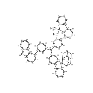 CC1(C)c2ccccc2-c2cccc(-c3ccc(N(c4cccc(-c5cccc6oc7ccccc7c56)c4)c4ccc5c(c4)C4(c6ccccc6-5)C5CC6CC(C5)CC4C6)cc3)c21